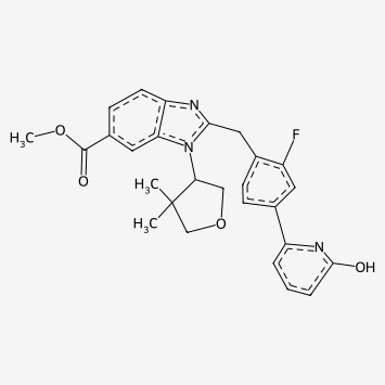 COC(=O)c1ccc2nc(Cc3ccc(-c4cccc(O)n4)cc3F)n(C3COCC3(C)C)c2c1